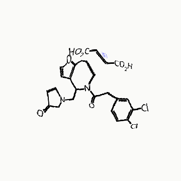 O=C(O)/C=C/C(=O)O.O=C1CCN(CC2c3ccoc3CCN2C(=O)Cc2ccc(Cl)c(Cl)c2)C1